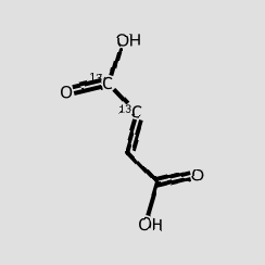 O=C(O)/C=[13CH]/[13C](=O)O